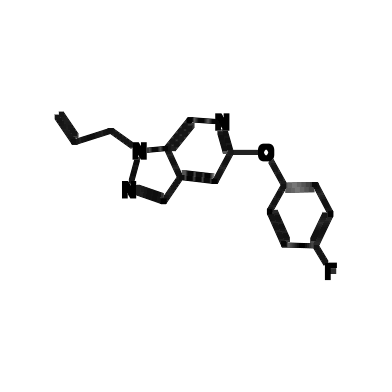 C=CCn1ncc2cc(Oc3ccc(F)cc3)ncc21